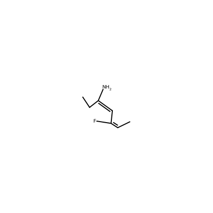 C/C=C(F)\C=C(\N)CC